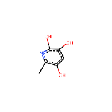 Cc1nc(O)c(O)cc1O